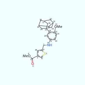 COC(=O)c1csc(CNc2ccc(OC)c(C34CC5CC(CC(C5)C3)C4)c2)c1